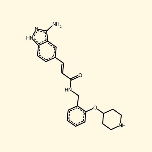 Nc1n[nH]c2ccc(/C=C/C(=O)NCc3ccccc3OC3CCNCC3)cc12